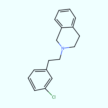 Clc1cccc(CCN2CCc3ccccc3C2)c1